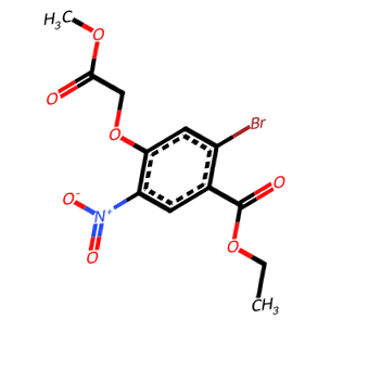 CCOC(=O)c1cc([N+](=O)[O-])c(OCC(=O)OC)cc1Br